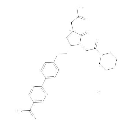 COC(=O)C[C@@H]1C[C@@H](COc2ccc(-c3ncc(C(=N)N)cn3)cc2)N(CC(=O)N2CCSCC2)C1=O.Cl